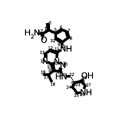 C=C(C(N)=O)c1cccc(Nc2ccnc3c(C(C)C)c(NC[C@H]4CCNC[C@@H]4O)nn23)c1